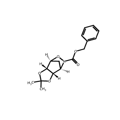 CC1(C)O[C@@H]2[C@H](O1)[C@@H]1C[C@H]2N(C(=O)OCc2ccccc2)O1